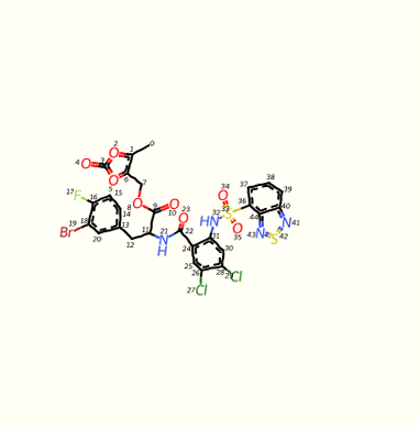 Cc1oc(=O)oc1COC(=O)C(Cc1ccc(F)c(Br)c1)NC(=O)c1cc(Cl)c(Cl)cc1NS(=O)(=O)c1cccc2nsnc12